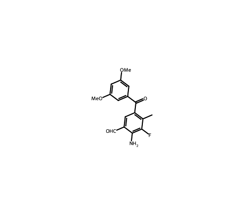 COc1cc(OC)cc(C(=O)c2cc(C=O)c(N)c(F)c2C)c1